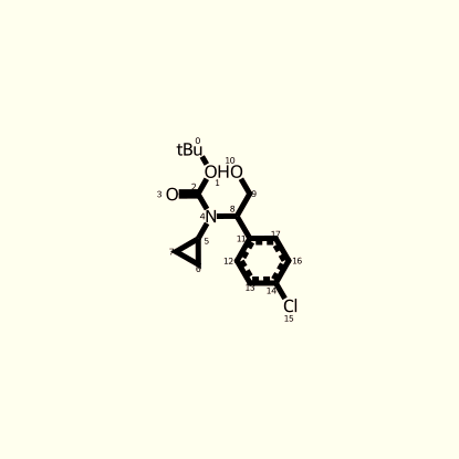 CC(C)(C)OC(=O)N(C1CC1)C(CO)c1ccc(Cl)cc1